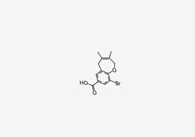 CC1=C(C)Cc2cc(C(=O)O)cc(Br)c2OC1